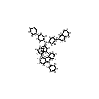 c1ccc(-c2ccc(N(c3ccc(-c4ccc5ccccc5c4)cc3)c3cccc(-c4cccc5c4c4c(-c6ccccc6)cccc4n5-c4ccccc4)c3)cc2)cc1